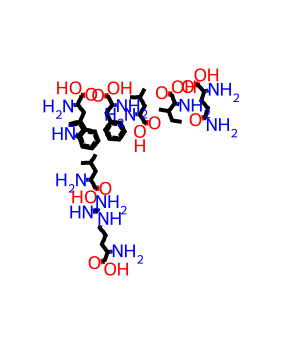 CC(C)CC(N)C(=O)O.CC(C)CC(N)C(=O)O.CCC(C)C(N)C(=O)O.N=C(N)NCCCC(N)C(=O)O.NC(=O)CCC(N)C(=O)O.NC(Cc1c[nH]c2ccccc12)C(=O)O.NC(Cc1ccccc1)C(=O)O